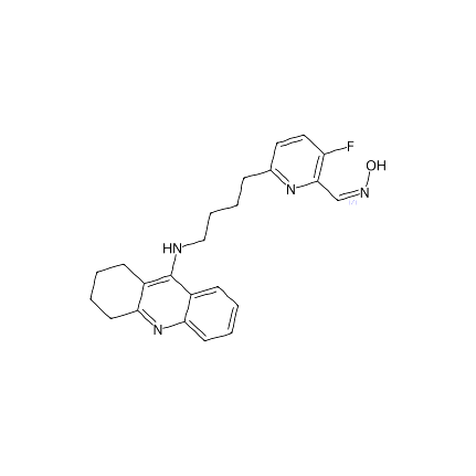 O/N=C\c1nc(CCCCNc2c3c(nc4ccccc24)CCCC3)ccc1F